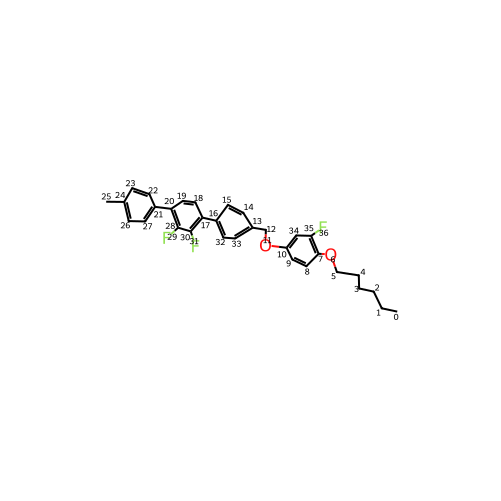 CCCCCCOc1ccc(OCc2ccc(-c3ccc(-c4ccc(C)cc4)c(F)c3F)cc2)cc1F